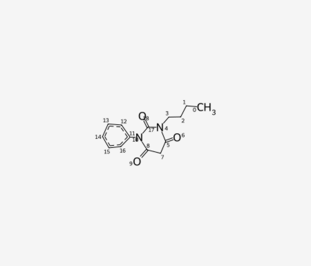 CCCCN1C(=O)CC(=O)N(c2ccccc2)C1=O